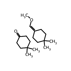 CC1(C)CCC(=O)CC1.COC=C1CCC(C)(C)CC1